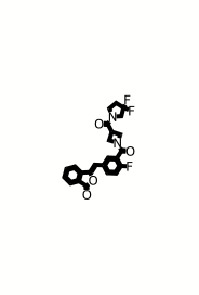 O=C1OC(=Cc2ccc(F)c(C(=O)N3CC(C(=O)N4CCC(F)(F)C4)C3)c2)c2ccccc21